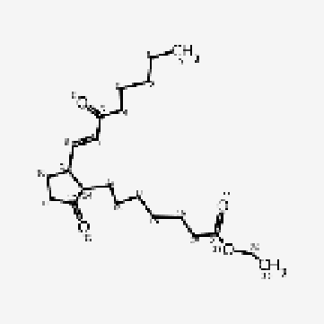 CCCCCC(=O)C=CC1CCC(=O)C1CCCCCCC(=O)OCC